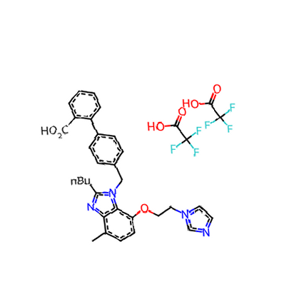 CCCCc1nc2c(C)ccc(OCCn3ccnc3)c2n1Cc1ccc(-c2ccccc2C(=O)O)cc1.O=C(O)C(F)(F)F.O=C(O)C(F)(F)F